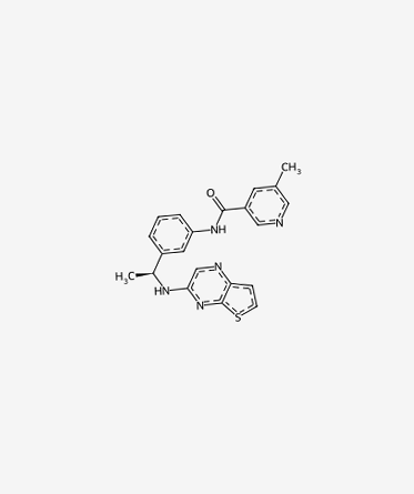 Cc1cncc(C(=O)Nc2cccc([C@H](C)Nc3cnc4ccsc4n3)c2)c1